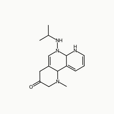 CC(C)NN1C=C2CC(=O)CN(C)C2C2=CC=CNC21